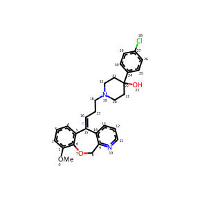 COc1cccc2c1OCc1ncccc1/C2=C\CCN1CCC(O)(c2ccc(Cl)cc2)CC1